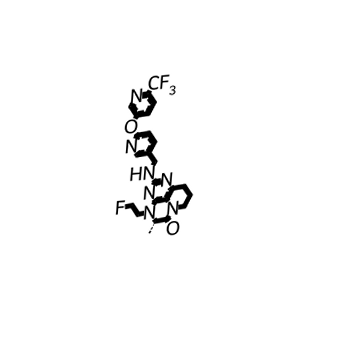 C[C@H]1C(=O)N2CCCc3nc(NCc4ccc(Oc5ccc(C(F)(F)F)nc5)nc4)nc(c32)N1CCF